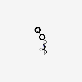 COC(=O)/C=C/O[C@H]1CC[C@@H](c2ccccc2)CC1